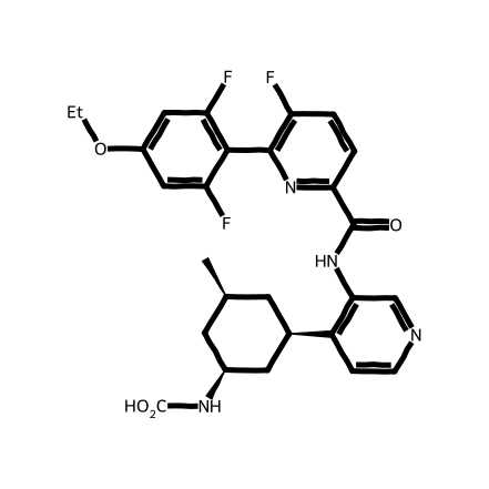 CCOc1cc(F)c(-c2nc(C(=O)Nc3cnccc3[C@@H]3C[C@H](C)C[C@H](NC(=O)O)C3)ccc2F)c(F)c1